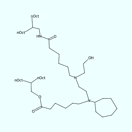 CCCCCCCCC(CCCCCCCC)CNC(=O)CCCCCN(CCO)CCN(CCCCCC(=O)OCC(CCCCCCCC)CCCCCCCC)C1CCCCCC1